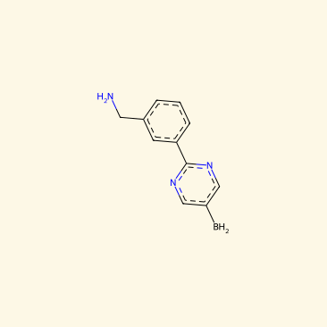 Bc1cnc(-c2cccc(CN)c2)nc1